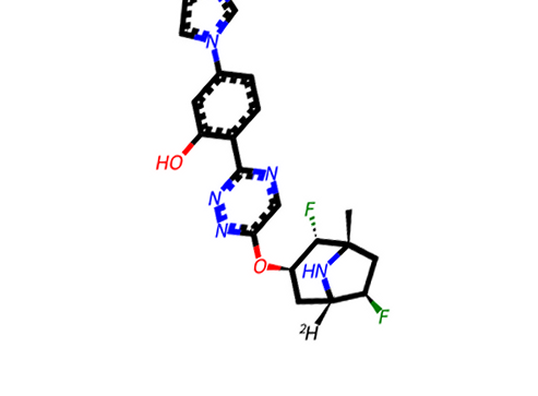 [2H][C@]12C[C@@H](Oc3cnc(-c4ccc(-n5ccnc5)cc4O)nn3)[C@H](F)[C@](C)(C[C@H]1F)N2